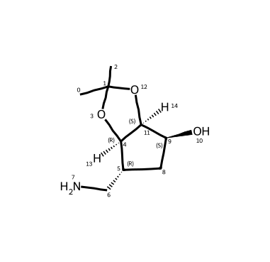 CC1(C)O[C@@H]2[C@@H](CN)C[C@H](O)[C@@H]2O1